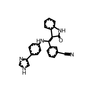 N#Cc1cccc(C(Nc2ccc(-c3c[nH]cn3)cc2)=C2C(=O)Nc3ccccc32)c1